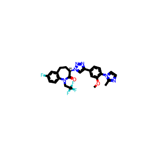 COc1cc(-c2cn([C@@H]3CCc4cc(F)ccc4N(CC(F)(F)F)C3=O)nn2)ccc1-n1ccnc1C